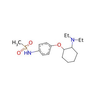 CCN(CC)C1CCCCC1Oc1ccc(NS(C)(=O)=O)cc1